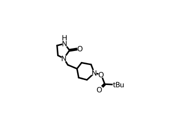 CC(C)(C)C(=O)ON1CCC(CN2CCNC2=O)CC1